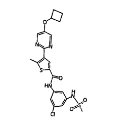 Cc1sc(C(=O)Nc2cc(Cl)cc(NS(C)(=O)=O)c2)cc1-c1ncc(OC2CCC2)cn1